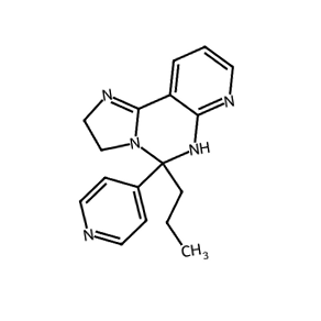 CCCC1(c2ccncc2)Nc2ncccc2C2=NCCN21